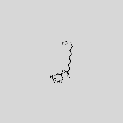 CCCCCCCCCCCCCCCCCC(=O)OC(CO)COC